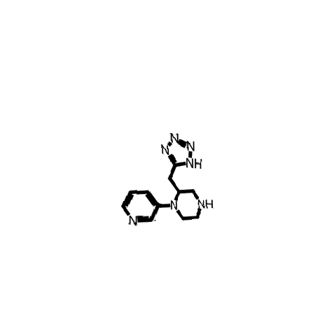 [c]1ncccc1N1CCNCC1Cc1nnn[nH]1